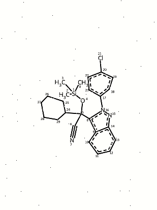 C[Si](C)(C)OC(C#N)(c1c2ccccc2nn1-c1ccc(Cl)cc1)C1CCCCC1